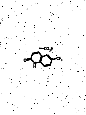 CC(=O)O.O=c1ccc2cc(C(F)(F)F)ccc2[nH]1